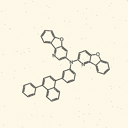 c1ccc(-c2ccc(-c3cccc(N(c4cnc5c(c4)oc4ccccc45)c4ccc5oc6ccccc6c5n4)c3)c3ccccc23)cc1